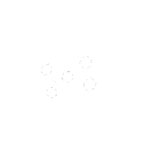 CC(C)c1cc2c3c(c1)Oc1cc(N4c5ccccc5Oc5ccccc54)cc4c1B3c1c(cc(C(C)C)cc1O4)O2